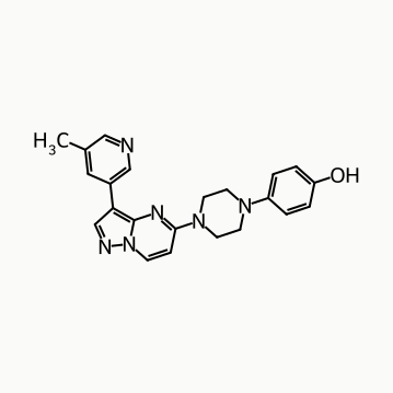 Cc1cncc(-c2cnn3ccc(N4CCN(c5ccc(O)cc5)CC4)nc23)c1